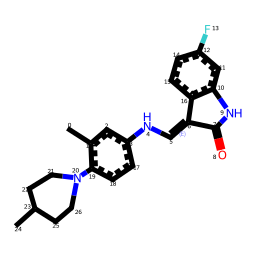 Cc1cc(N/C=C2/C(=O)Nc3cc(F)ccc32)ccc1N1CCC(C)CC1